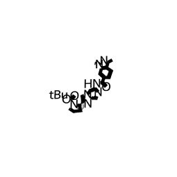 Cc1nn(C)c2cc(C(=O)Nc3cn4cc([C@H]5CCCN5C(=O)OC(C)(C)C)nc4cn3)ccc12